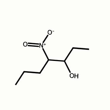 CCCC(C(O)CC)[N+](=O)[O-]